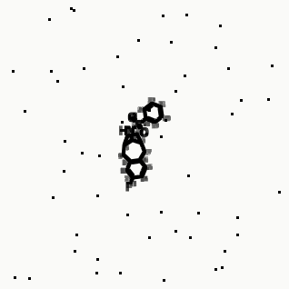 O=S(=O)(NC1C2CCC1Cc1cc(F)ccc1C2)c1ccccc1